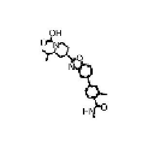 CNC(=O)c1ccc(-c2ccc3oc(C4CCN(C(=O)O)C(C(C)C)C4)nc3c2)cc1C